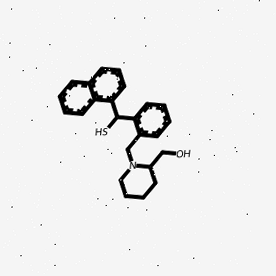 OCC1CCCCN1Cc1ccccc1C(S)c1cccc2ccccc12